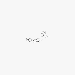 O=c1[nH]ncc(N2C[C@H](F)C[C@H]2CCCn2ccc3cc(-c4ncc(C(F)(F)F)cn4)c(F)cc3c2=O)c1C(F)(F)F